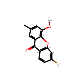 [CH2]CCOc1cc(C)cc2c(=O)c3ccc(Br)cc3oc12